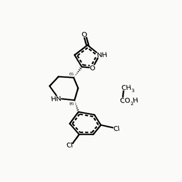 CC(=O)O.O=c1cc([C@H]2CCN[C@@H](c3cc(Cl)cc(Cl)c3)C2)o[nH]1